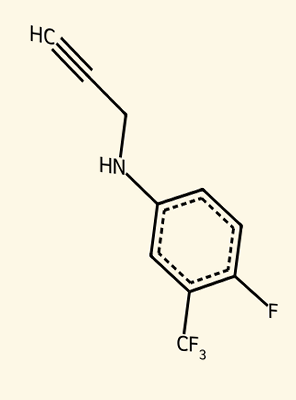 C#CCNc1ccc(F)c(C(F)(F)F)c1